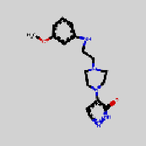 COc1cccc(NCCN2CCN(c3ccn[nH]c3=O)CC2)c1